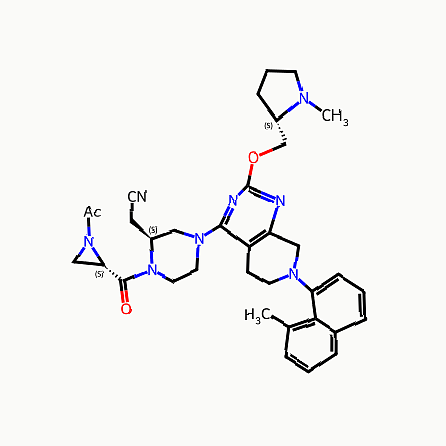 CC(=O)N1C[C@H]1C(=O)N1CCN(c2nc(OC[C@@H]3CCCN3C)nc3c2CCN(c2cccc4cccc(C)c24)C3)C[C@@H]1CC#N